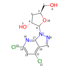 OC[C@@H]1C[C@@H](O)C(n2ncc3c(Cl)cc(Cl)nc32)O1